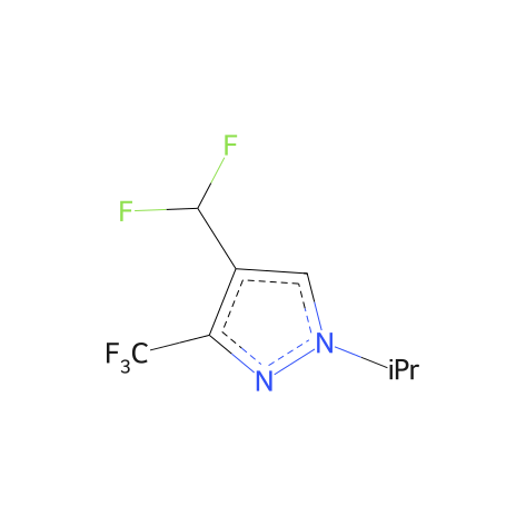 CC(C)n1cc(C(F)F)c(C(F)(F)F)n1